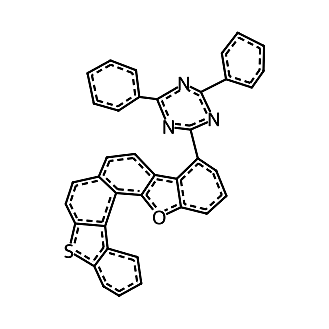 c1ccc(-c2nc(-c3ccccc3)nc(-c3cccc4oc5c(ccc6ccc7sc8ccccc8c7c65)c34)n2)cc1